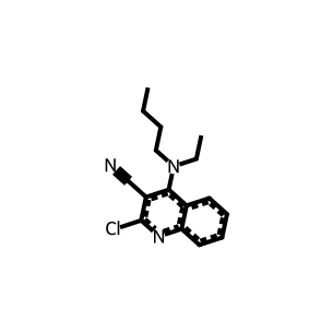 CCCCN(CC)c1c(C#N)c(Cl)nc2ccccc12